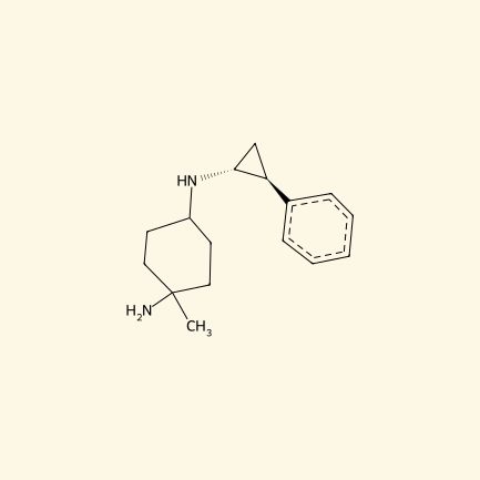 CC1(N)CCC(N[C@@H]2C[C@H]2c2ccccc2)CC1